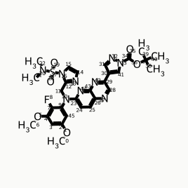 COc1cc(OC)c(F)c(N(Cc2nccn2S(=O)(=O)N(C)C)c2ccc3ncc(-c4cnn(C(=O)OC(C)(C)C)c4)nc3n2)c1